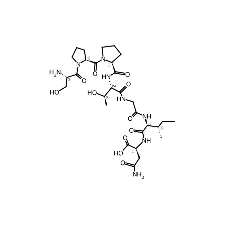 CC[C@H](C)[C@H](NC(=O)CNC(=O)[C@@H](NC(=O)[C@@H]1CCCN1C(=O)[C@@H]1CCCN1C(=O)[C@@H](N)CO)[C@@H](C)O)C(=O)N[C@@H](CC(N)=O)C(=O)O